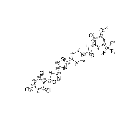 COc1cc(C(F)(F)F)cn(CC(=O)N2CCC(c3nc(C4=NOC(c5c(Cl)cc(Cl)cc5Cl)C4)cs3)CC2)c1=O